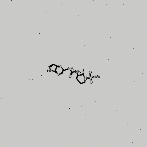 CCC(C)S(=O)(=O)N1CCCC(NC(=O)Nc2cnc3[nH]ccc3n2)C1I